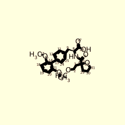 COCCC1(C(=O)N[C@@H](Cc2ccc(-c3c(OC)cccc3OC)cc2)C(=O)O)CCCO1